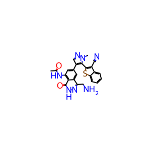 CC(=O)Nc1cc(-c2cnn(C)c2-c2sc3ccccc3c2C#N)cc2c(CN)n[nH]c(=O)c12